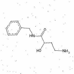 NCCC(O)C(=O)NCc1ccccc1